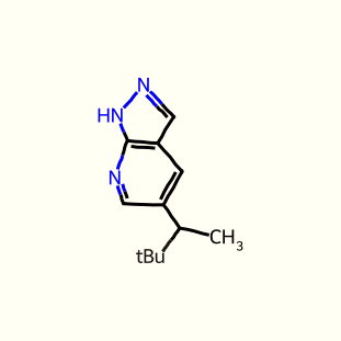 CC(c1cnc2[nH]ncc2c1)C(C)(C)C